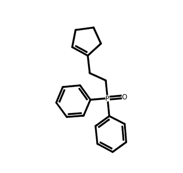 O=P(CCC1=CCCC1)(c1ccccc1)c1ccccc1